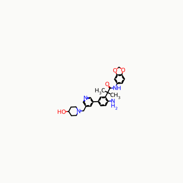 CC(C)(C(=O)Nc1ccc2c(c1)OCO2)c1cc(-c2cncc(CN3CCC(O)CC3)c2)ccc1N